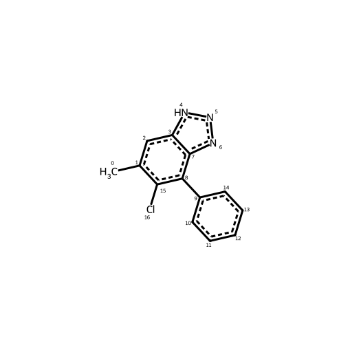 Cc1cc2[nH]nnc2c(-c2ccccc2)c1Cl